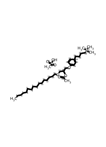 CCCCCCCCCCCCCCCCOCC(COc1ccc(CCCC[N+](C)(C)C)cc1)OC(C)=O.CS(=O)(=O)O